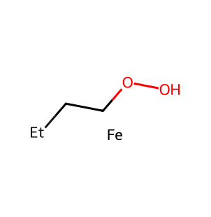 CCCCOO.[Fe]